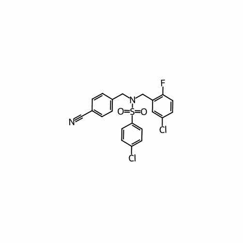 N#Cc1ccc(CN(Cc2cc(Cl)ccc2F)S(=O)(=O)c2ccc(Cl)cc2)cc1